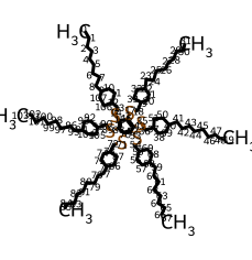 CCCCCCCCCC1CCC(CSc2c(SCC3CCC(CCCCCCCCC)CC3)c(SCC3CCC(CCCCCCCCC)CC3)c(SCC3CCC(CCCCCCCCC)CC3)c(SCC3CCC(CCCCCCCCC)CC3)c2SCC2CCC(CCCCCCCCC)CC2)CC1